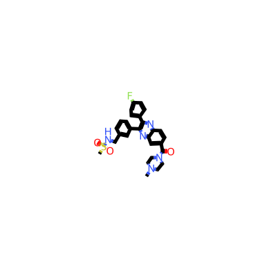 CN1CCN(C(=O)c2ccc3nc(-c4ccc(F)cc4)c(-c4cccc(CNS(C)(=O)=O)c4)nc3c2)CC1